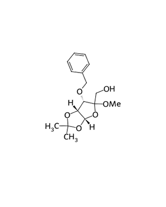 COC1(CO)O[C@@H]2OC(C)(C)O[C@@H]2[C@@H]1OCc1ccccc1